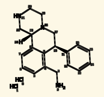 Cl.Cl.NCc1cccc2c1[C@H](c1ccccc1)CN1CCNC[C@@H]21